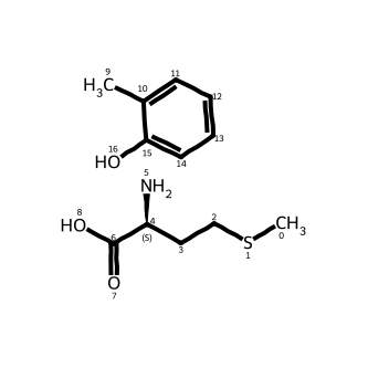 CSCC[C@H](N)C(=O)O.Cc1ccccc1O